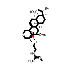 CN=C(N)NCCO[C@H]1[C@H](OC(C)=O)C[C@@]23COC[C@]1(C)[C@@H]2CC[C@H]1C3=CC[C@@]2(C)[C@H](C(=O)O)[C@@](C)([C@H](C)C(C)C)CC[C@]12C